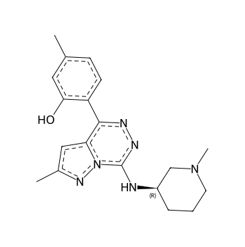 Cc1ccc(-c2nnc(N[C@@H]3CCCN(C)C3)n3nc(C)cc23)c(O)c1